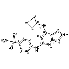 NS(=O)(=O)c1ccc(Nc2nc(NC3CCC3)c3cn[nH]c3n2)cc1